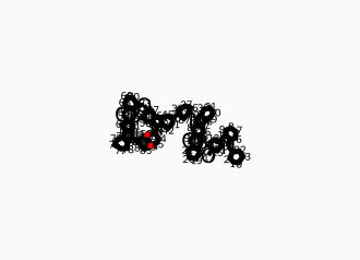 c1ccc(-n2c3ccccc3c3cc4c(cc32)Oc2cccc3c2B4c2cc4c5ccccc5n(-c5cccc(-c6ccc7c(c6)c6cc8c(cc6n7-c6ccccc6)B6c7cc9c(cc7Oc7cccc(c76)O8)c6ccccc6n9-c6ccccc6)c5)c4cc2O3)cc1